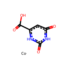 O=C(O)c1cc(=O)[nH]c(=O)[nH]1.[Co]